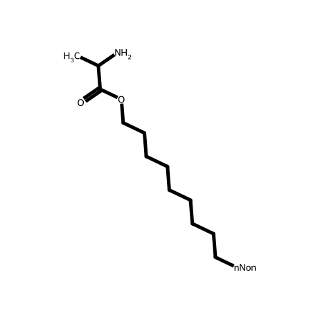 CCCCCCCCCCCCCCCCCCOC(=O)C(C)N